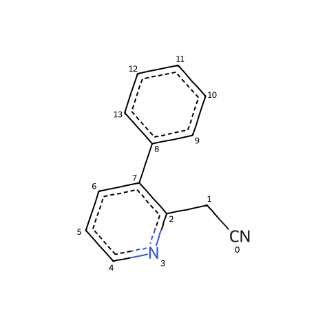 N#CCc1ncccc1-c1ccccc1